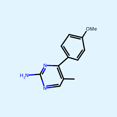 COc1ccc(-c2nc(N)ncc2C)cc1